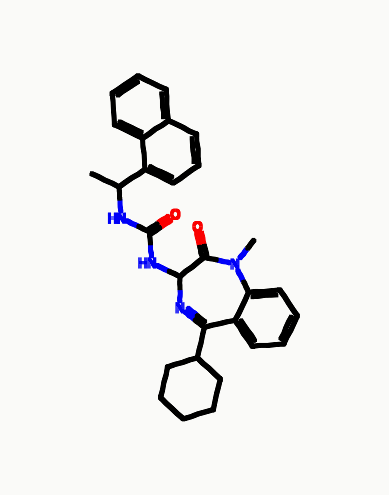 CC(NC(=O)NC1N=C(C2CCCCC2)c2ccccc2N(C)C1=O)c1cccc2ccccc12